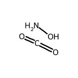 NO.O=C=O